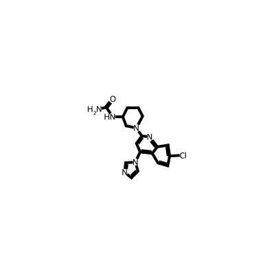 NC(=O)NC1CCCN(c2cc(-n3ccnc3)c3ccc(Cl)cc3n2)C1